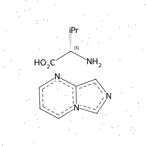 CC(C)[C@H](N)C(=O)O.c1cnc2cncn2c1